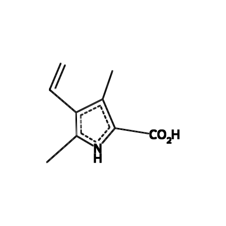 C=Cc1c(C)[nH]c(C(=O)O)c1C